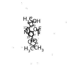 CC1(C)COB(c2cc(OC(F)F)c3c(c2)ncn3C2CC(C)(O)C2)OC1